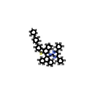 C1=CCCC(c2ccc(-c3ccc4sc5c6c7c(n(-c8nc(-c9ccccc9)cc(-c9ccccc9)n8)c6c6ccccc6c5c4c3)C3=C(C=CCC3)C3C=CC=CC73)cc2)=C1